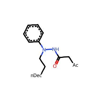 CCCCCCCCCCCCN(NC(=O)CC(C)=O)c1ccccc1